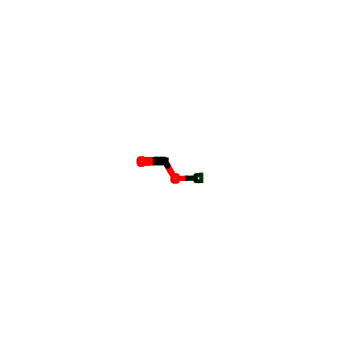 O=[C]OCl